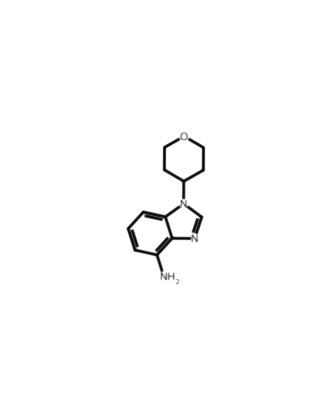 Nc1cccc2c1ncn2C1CCOCC1